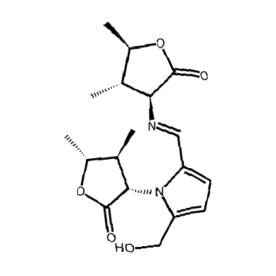 C[C@H]1[C@H](N=Cc2ccc(CO)n2[C@@H]2C(=O)O[C@H](C)[C@H]2C)C(=O)O[C@@H]1C